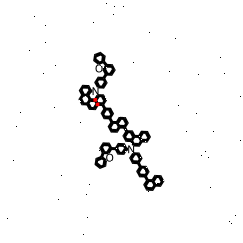 c1ccc2c(-c3ccc(-c4ccc(N(c5ccc(-c6cccc7c6oc6ccccc67)cc5)c5cc6ccccc6c6cc(-c7cccc8c(-c9ccc(-c%10ccc(N(c%11ccc(-c%12cccc%13c%12oc%12ccccc%12%13)cc%11)c%11cccc%12ccc%13ccccc%13c%11%12)cc%10)cc9)cccc78)ccc56)cc4)cc3)cccc2c1